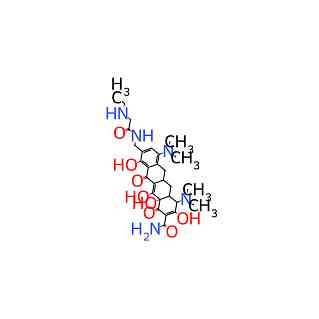 CCNCC(=O)NCc1cc(N(C)C)c2c(c1O)C(=O)C1=C(O)C3(O)C(=O)C(C(N)=O)=C(O)C(N(C)C)C3CC1C2